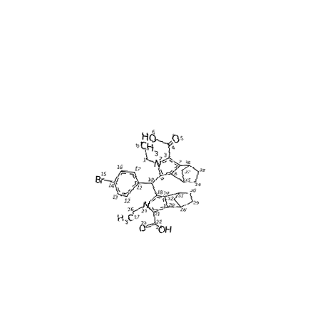 CCn1c(C(=O)O)c2c(c1C(c1ccc(Br)cc1)c1c3c(c(C(=O)O)n1CC)C1CCC3C1)C1CCC2C1